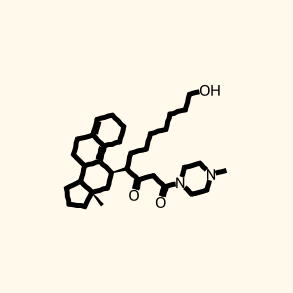 CN1CCN(C(=O)CC(=O)C(CCCCCCCO)[C@H]2C[C@]3(C)CCCC3C3CCC4=CCCCC4=C32)CC1